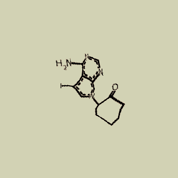 Nc1ncnc2c1c(I)cn2C1CCCCC1=O